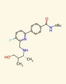 CCCCNC(=O)c1ccc(-c2ccc(F)c(CN[C@H](C)C(C)CO)n2)cc1